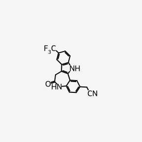 N#CCc1ccc2c(c1)-c1[nH]c3ccc(C(F)(F)F)cc3c1CC(=O)N2